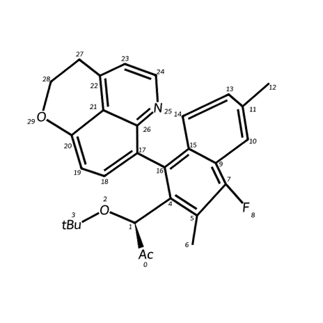 CC(=O)[C@@H](OC(C)(C)C)c1c(C)c(F)c2cc(C)ccc2c1-c1ccc2c3c(ccnc13)CCO2